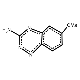 COc1ccc2nnc(N)nc2c1